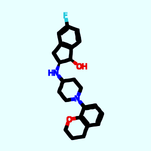 O[C@@H]1c2ccc(F)cc2C[C@@H]1NC1CCN(c2cccc3c2OCCC3)CC1